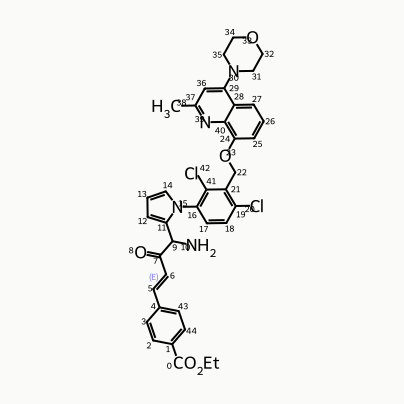 CCOC(=O)c1ccc(/C=C/C(=O)C(N)c2cccn2-c2ccc(Cl)c(COc3cccc4c(N5CCOCC5)cc(C)nc34)c2Cl)cc1